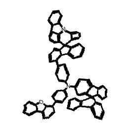 c1ccc2c(c1)-c1ccccc1C21c2ccccc2-c2ccc(N(c3ccc(-c4cccc5c4-c4ccccc4C54c5ccccc5-n5c6ccccc6c6cccc4c65)cc3)c3ccc(-c4cccc5c4oc4ccccc45)cc3)cc21